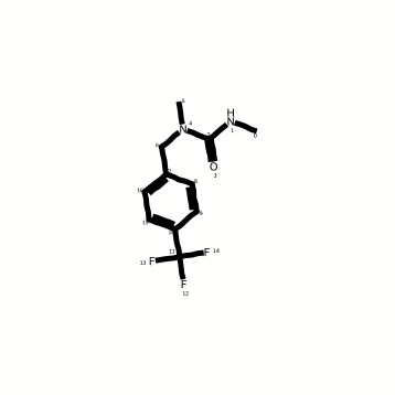 CNC(=O)N(C)Cc1ccc(C(F)(F)F)cc1